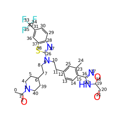 CC(=O)N1CCC(CCN(CCc2ccc(C3=NOC(C=O)N3)c(C)c2)c2nc3ccc(C(F)(F)F)cc3s2)CC1